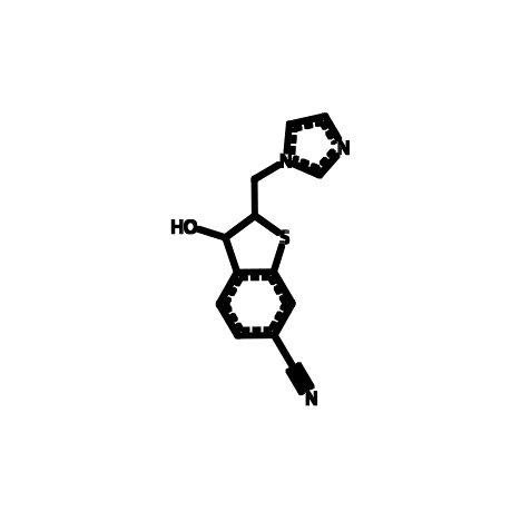 N#Cc1ccc2c(c1)SC(Cn1ccnc1)C2O